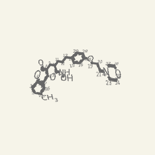 Cc1ccc2oc(=O)c(CC(CCCc3ccc(OCCCN4CCOCC4)cc3)C(=O)NO)cc2c1